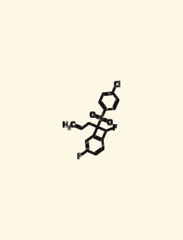 C=CCC1(S(=O)(=O)c2ccc(Cl)cc2)c2cc(F)ccc2C1F